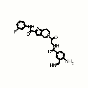 N=Cc1cc(C(=O)NCC(=O)N2CCc3sc(C(=O)Nc4cccc(F)c4)cc3C2)ccc1N